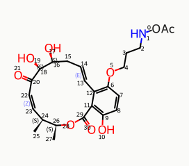 CC(=O)ONCCCOc1ccc(O)c2c1/C=C/C[C@H](O)[C@H](O)C(=O)/C=C\[C@H](C)[C@H](C)OC2=O